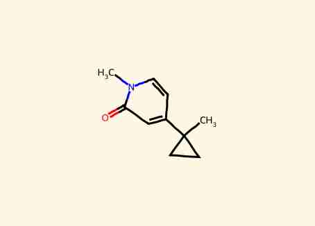 Cn1ccc(C2(C)CC2)cc1=O